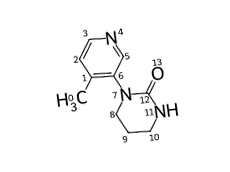 Cc1ccncc1N1CCCNC1=O